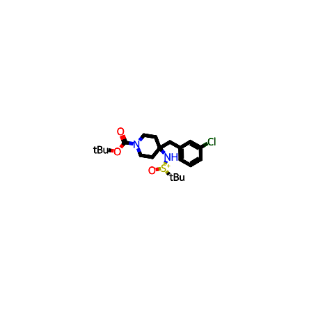 CC(C)(C)OC(=O)N1CCC(Cc2cccc(Cl)c2)(N[S+]([O-])C(C)(C)C)CC1